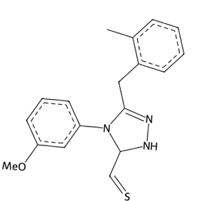 COc1cccc(N2C(Cc3ccccc3C)=NNC2C=S)c1